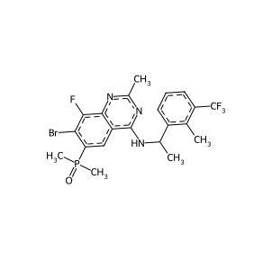 Cc1nc(NC(C)c2cccc(C(F)(F)F)c2C)c2cc(P(C)(C)=O)c(Br)c(F)c2n1